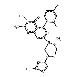 Cc1nc2cc(N3C[C@H](c4cnn(C)c4)OC[C@H]3C)nc(-c3ccc(Cl)cc3F)c2c(=O)n1C